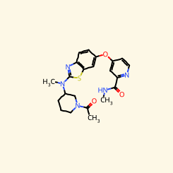 CNC(=O)c1cc(Oc2ccc3nc(N(C)C4CCCN(C(C)=O)C4)sc3c2)ccn1